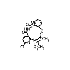 CC1(C)C[C@]2(C)CCc3ccccc3S(=O)(=O)NC(=O)c3ccc(Cl)nc3N1C2